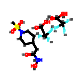 CS(=O)(=O)N1CCC(CC(=O)NO)CC1.O=C(O)C(F)(F)F.O=C(O)C(F)(F)F